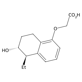 [CH2]C[C@@H]1c2cccc(OCC(=O)O)c2CC[C@H]1O